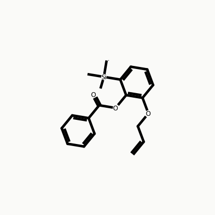 [CH2][Si](C)(C)c1cccc(OCC=C)c1OC(=O)c1ccccc1